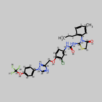 CCCc1ccc(C)cc1N1C(=O)CSC1NC(=O)Nc1ccc(OCc2ncn(-c3ccc(OC(F)(F)F)cc3)n2)c(Cl)c1